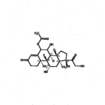 CC(=O)OC1C2=CC(=O)CC[C@]2(C)[C@@]2(F)[C@@H](O)C[C@@]3(C)[C@@H](CC[C@]3(O)C(=O)CO)[C@@H]2C1O